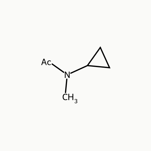 CC(=O)N(C)C1CC1